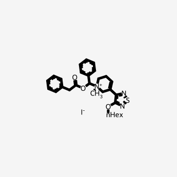 CCCCCCOc1nsnc1C1=CCC[N+](C)(C(OC(=O)Cc2ccccc2)c2ccccc2)C1.[I-]